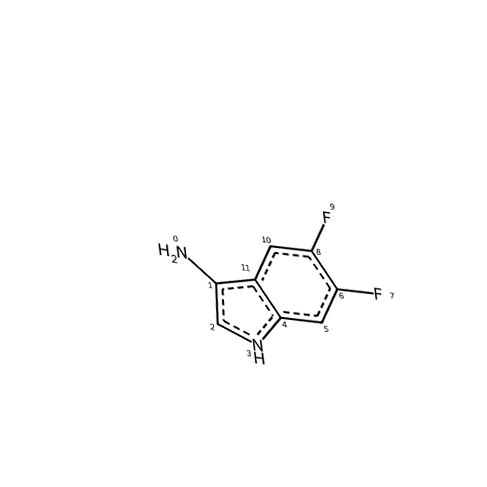 Nc1c[nH]c2cc(F)c(F)cc12